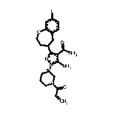 C=CC(=O)N1CCC[C@@H](n2nc(C3CCOc4cc(F)ccc4C3)c(C(N)=O)c2N)C1